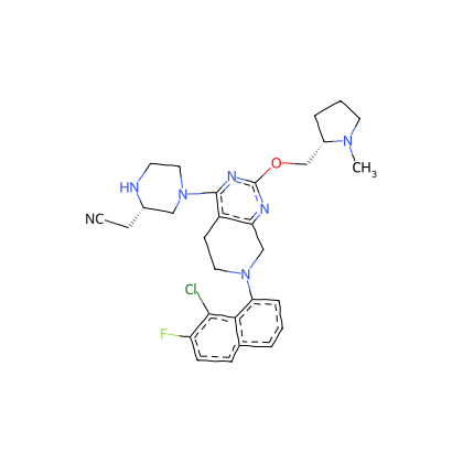 CN1CCC[C@H]1COc1nc2c(c(N3CCN[C@@H](CC#N)C3)n1)CCN(c1cccc3ccc(F)c(Cl)c13)C2